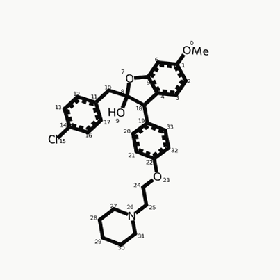 COc1ccc2c(c1)OC(O)(Cc1ccc(Cl)cc1)C2c1ccc(OCCN2CCCCC2)cc1